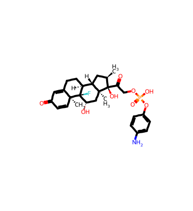 C[C@@H]1C[C@H]2[C@@H]3CCC4=CC(=O)C=C[C@]4(C)[C@@]3(F)[C@@H](O)C[C@]2(C)[C@@]1(O)C(=O)COP(=O)(O)Oc1ccc(N)cc1